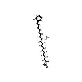 Cc1ccccc1CCCCCCCCCCCCCCCCCCN(C)C.Cl